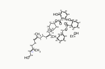 CC(C)=CCCC(C)=CCC/C(C)=C/CO.CCO.O=C(OC1CCCCC1)c1ccccc1O.O=C(OCc1ccccc1)c1ccccc1O